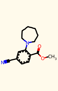 COC(=O)c1ccc(C#N)cc1N1CCCCCC1